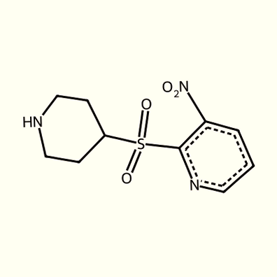 O=[N+]([O-])c1cccnc1S(=O)(=O)C1CCNCC1